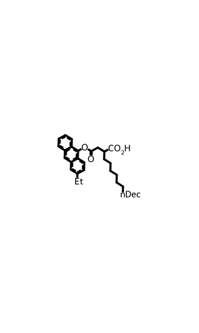 CCCCCCCCCCCCCCCCC(CC(=O)Oc1c2ccccc2cc2cc(CC)ccc12)C(=O)O